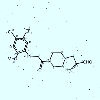 C=C(C=O)CN1CCN(C(=O)CNc2cc(C(F)(F)F)c(Cl)cc2OC)CC1